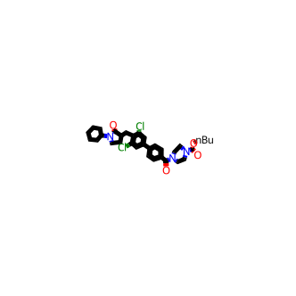 CCCCOC(=O)N1CCN(C(=O)c2ccc(-c3cc(Cl)c(CC4CCN(C5CCCCC5)C4=O)c(Cl)c3)cc2)CC1